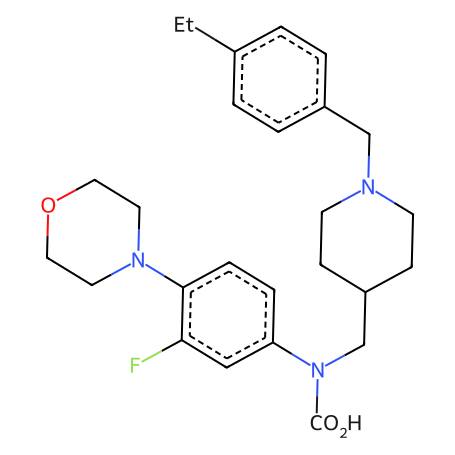 CCc1ccc(CN2CCC(CN(C(=O)O)c3ccc(N4CCOCC4)c(F)c3)CC2)cc1